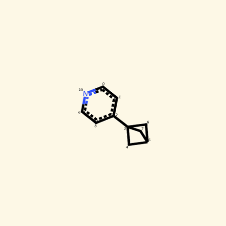 c1cc(C23CC(C2)C3)ccn1